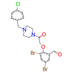 O=Cc1cc(Br)cc(Br)c1OCC(=O)N1CCN(Cc2ccc(Cl)cc2)CC1